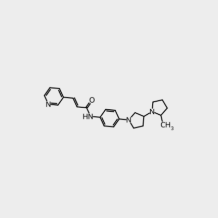 CC1CCCN1C1CCN(c2ccc(NC(=O)C=Cc3cccnc3)cc2)C1